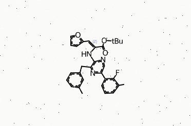 Cc1cccc(Cc2nc(-c3cccc(C)c3F)cnc2N/C(=C\c2ccco2)C(=O)OC(C)(C)C)c1